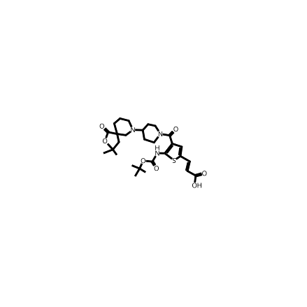 CC(C)(C)OC(=O)Nc1sc(C=CC(=O)O)cc1C(=O)N1CCC(N2CCCC3(C2)CC(C)(C)OC3=O)CC1